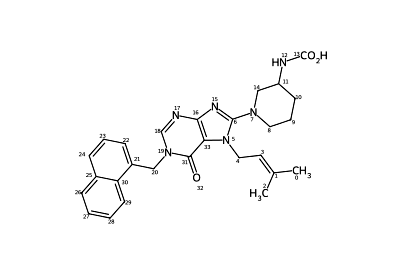 CC(C)=CCn1c(N2CCCC(NC(=O)O)C2)nc2ncn(Cc3cccc4ccccc34)c(=O)c21